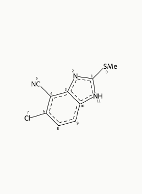 CSc1nc2c(C#N)c(Cl)ccc2[nH]1